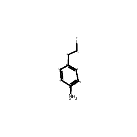 Nc1ccc(CCI)cc1